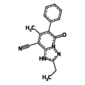 CCc1nn2c(=O)c(-c3ccccc3)c(C)c(C#N)c2[nH]1